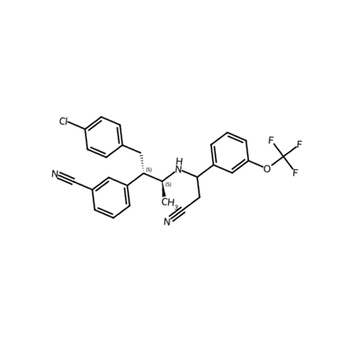 C[C@H](NC(CC#N)c1cccc(OC(F)(F)F)c1)[C@@H](Cc1ccc(Cl)cc1)c1cccc(C#N)c1